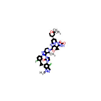 C[C@H]1c2c(nn(-c3ccc(F)c(C4CC4)c3)c2-n2ccn(-c3ccc4c(cnn4C)c3F)c2=O)CCN1C(=O)c1nc2cc([C@@H]3CCOC(C)(C)C3)ccn2c1C1(c2noc(=O)[nH]2)CC1